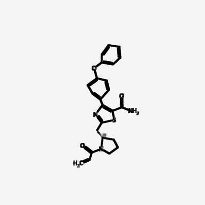 C=CC(=O)N1CCC[C@H]1Cc1nc(-c2ccc(Oc3ccccc3)cc2)c(C(N)=O)s1